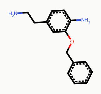 NCCc1ccc(N)c(OCc2ccccc2)c1